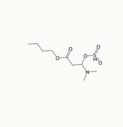 CCCCOC(=O)CC(O[SH](=O)=O)N(C)C